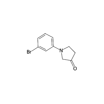 O=C1CCN(c2cccc(Br)c2)C1